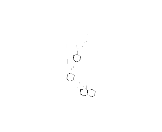 OCCCC(O)c1ccc(OCc2cccc(OCc3ccc4ccccc4n3)c2)c(F)c1